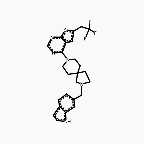 FC(F)(F)Cc1cc2c(N3CCC4(CCN(Cc5ccc6cc[nH]c6c5)C4)CC3)ncnc2s1